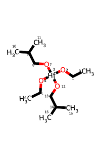 CC[O][Hf]([O]CC)([O]CC(C)C)[O]CC(C)C